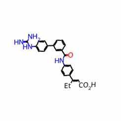 CCC(=CC(=O)O)c1ccc(NC(=O)c2cccc(-c3ccc(NC(=N)N)cc3)c2)cc1